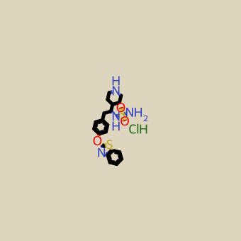 Cl.NS(=O)(=O)NC(Cc1ccc(Oc2nc3ccccc3s2)cc1)C1CCNCC1